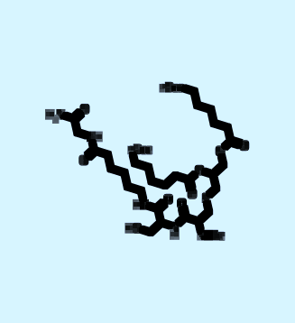 CCCCCCCCCCCCCCCC(=O)OCC(CSCC(NC(C)=O)C(=O)NC(CO)C(=O)NCCCCCC(=O)NCC(N)=O)OC(=O)CCCCCCCCCCCCCCC